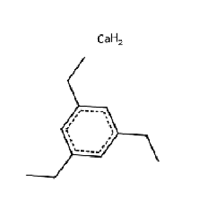 CCc1cc(CC)cc(CC)c1.[CaH2]